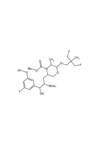 CCCOc1cc(F)cc(C(O)C(CC2COC(OCC(C)(CF)CF)C(C)N2C(=O)OC(C)(C)C)NC(C)=O)c1